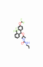 CCCNC(=O)N1CC(OC(c2ccc(OC(F)F)cc2)c2ccccc2C(F)(F)F)C1